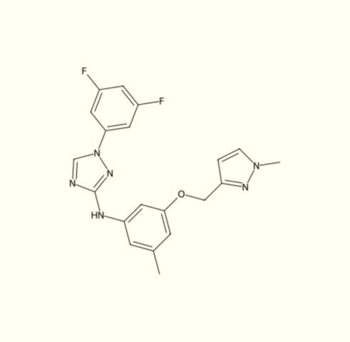 Cc1cc(Nc2ncn(-c3cc(F)cc(F)c3)n2)cc(OCc2ccn(C)n2)c1